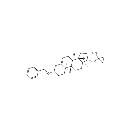 C[C@]12CC[C@H]3[C@@H](CC=C4C[C@@H](OCc5ccccc5)CC[C@@]43C)[C@@H]1CC[C@@H]2SC1(O)CC1